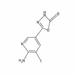 Nc1ncc(-c2n[nH]c(=O)o2)cc1I